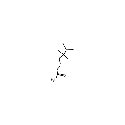 CC(C)C(C)(C)SSCC(N)=O